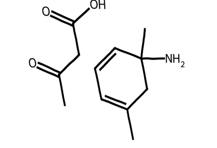 CC(=O)CC(=O)O.CC1=CC=CC(C)(N)C1